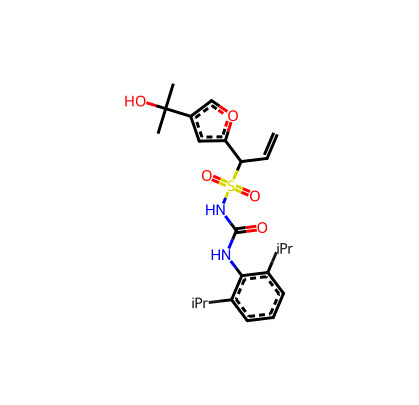 C=CC(c1cc(C(C)(C)O)co1)S(=O)(=O)NC(=O)Nc1c(C(C)C)cccc1C(C)C